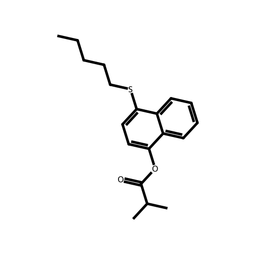 CCCCCSc1ccc(OC(=O)C(C)C)c2ccccc12